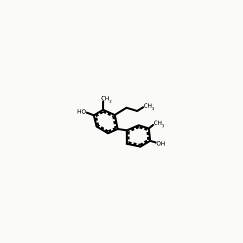 CCCc1c(-c2ccc(O)c(C)c2)ccc(O)c1C